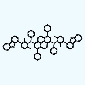 Cc1ccc(-c2cccc3c2oc2ccccc23)c(C)c1N(c1ccccc1)c1cc(-c2ccccc2)c2ccc3c(N(c4ccccc4)c4c(C)ccc(-c5cccc6c5oc5ccccc56)c4C)cc(-c4ccccc4)c4ccc1c2c43